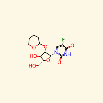 O=c1[nH]c(=O)n([C@@H]2O[C@H](CO)[C@@H](O)[C@H]2OC2CCCCO2)cc1F